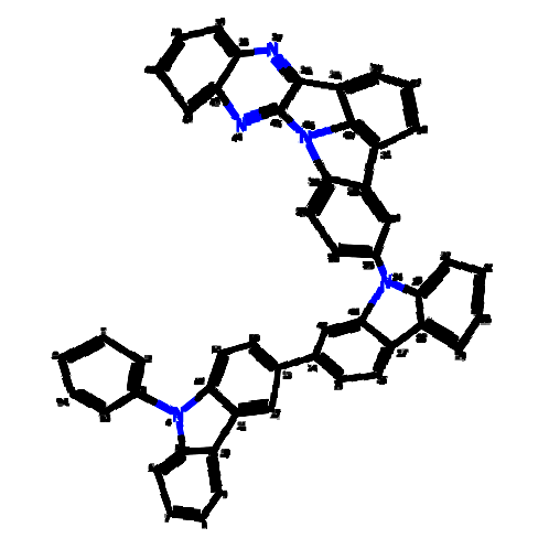 c1ccc(-n2c3ccccc3c3cc(-c4ccc5c6ccccc6n(-c6ccc7c(c6)c6cccc8c9nc%10ccccc%10nc9n7c68)c5c4)ccc32)cc1